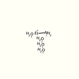 CCN.O.O.O.O